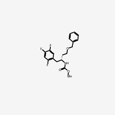 CC(C)(C)OC(=O)N[C@@H](CCOCc1ccccc1)Cc1cc(F)c(F)cc1F